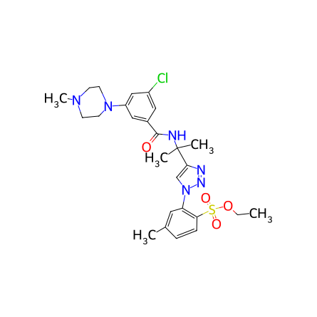 CCOS(=O)(=O)c1ccc(C)cc1-n1cc(C(C)(C)NC(=O)c2cc(Cl)cc(N3CCN(C)CC3)c2)nn1